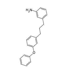 Nc1cccc(CCCc2cccc(Oc3ccccc3)c2)c1